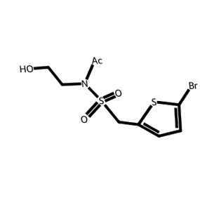 CC(=O)N(CCO)S(=O)(=O)Cc1ccc(Br)s1